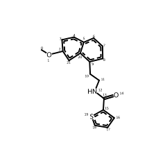 COc1ccc2cccc(CCNC(=O)c3cccs3)c2c1